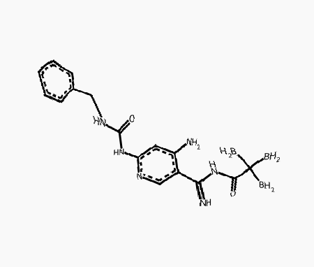 BC(B)(B)C(=O)NC(=N)c1cnc(NC(=O)NCc2ccccc2)cc1N